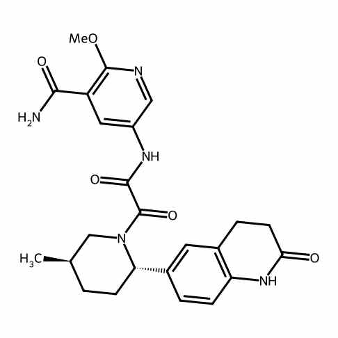 COc1ncc(NC(=O)C(=O)N2C[C@H](C)CC[C@H]2c2ccc3c(c2)CCC(=O)N3)cc1C(N)=O